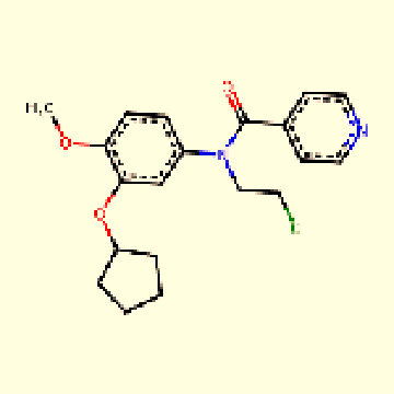 COc1ccc(N(CCCl)C(=O)c2ccncc2)cc1OC1CCCC1